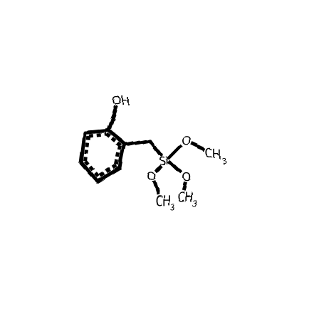 CO[Si](Cc1ccccc1O)(OC)OC